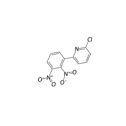 O=[N+]([O-])c1cccc(-c2cccc(Cl)n2)c1[N+](=O)[O-]